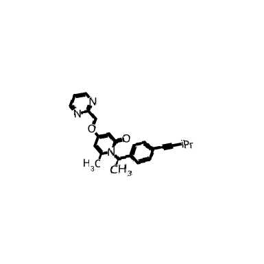 Cc1cc(OCc2ncccn2)cc(=O)n1[C@H](C)c1ccc(C#CC(C)C)cc1